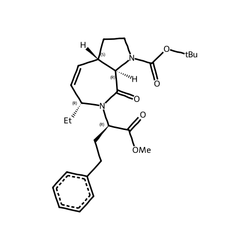 CC[C@@H]1C=C[C@@H]2CCN(C(=O)OC(C)(C)C)[C@H]2C(=O)N1[C@H](CCc1ccccc1)C(=O)OC